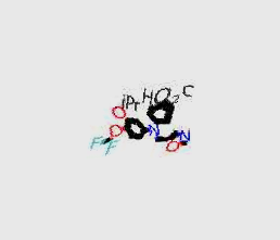 CC(C)Oc1cc(N(Cc2cnco2)c2cccc(C(=O)O)c2)ccc1OC(F)F